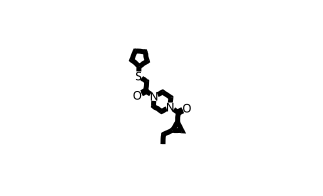 CCC1CC1C(=O)N1CCN(C(=O)CSC2CCCC2)CC1